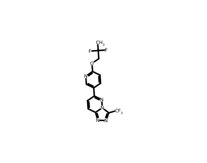 CC(F)(F)COc1ccc(-c2ccc3nnc(C(F)(F)F)n3n2)cn1